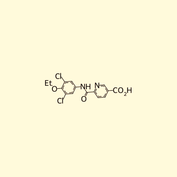 CCOc1c(Cl)cc(NC(=O)c2ccc(C(=O)O)cn2)cc1Cl